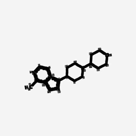 Cc1nccn2c(C3CCN(C4CCOCC4)CC3)ncc12